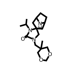 CC(C)N1C(=O)N(CC2(C)COCOC2)CC12CC1CCC(C2)N1